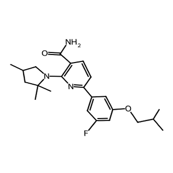 CC(C)COc1cc(F)cc(-c2ccc(C(N)=O)c(N3CC(C)CC3(C)C)n2)c1